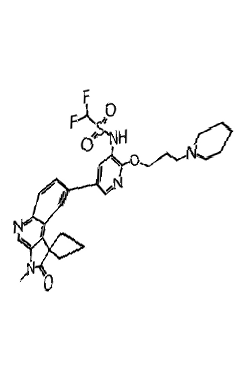 CN1C(=O)C2(CCC2)c2c1cnc1ccc(-c3cnc(OCCCN4CCCCC4)c(NS(=O)(=O)C(F)F)c3)cc21